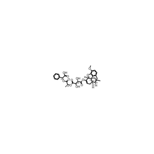 COc1ccc2c3c1O[C@H]1C(OC(=O)[C@H](O)[C@@H](O)C(=O)O[C@@H](C)C(=O)O[C@H](C(=O)O)c4ccccc4)=CC[C@@]4(O)[C@@H](C2)N(C)CC[C@]314